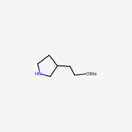 COCCC1CCNC1